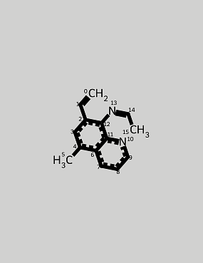 C=Cc1cc(C)c2cccnc2c1/N=C\C